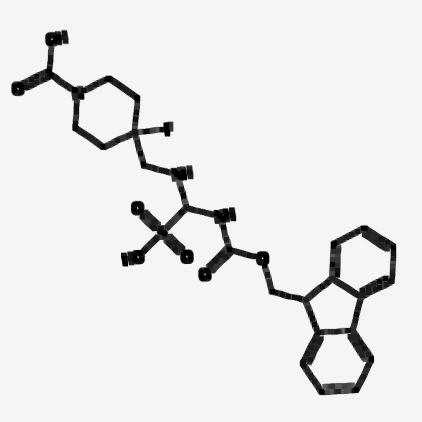 O=C(NC(NCC1(F)CCN(C(=O)O)CC1)S(=O)(=O)O)OCC1c2ccccc2-c2ccccc21